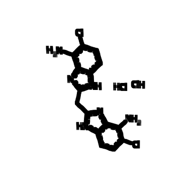 Cl.Cl.Nc1c(Cl)ccc2[nH]c(Cc3nc4c(N)c(Cl)ccc4[nH]3)nc12